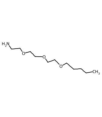 CCCCCOCCOCCOCCN